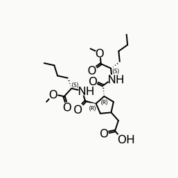 CCCC[C@H](NC(=O)[C@@H]1CC(CC(=O)O)C[C@H]1C(=O)N[C@@H](CCCC)C(=O)OC)C(=O)OC